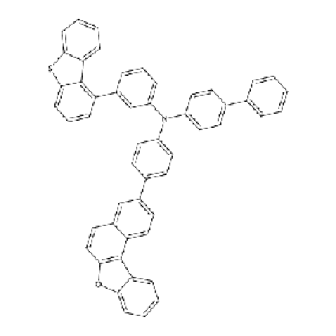 c1ccc(-c2ccc(N(c3ccc(-c4ccc5c(ccc6oc7ccccc7c65)c4)cc3)c3cccc(-c4cccc5sc6ccccc6c45)c3)cc2)cc1